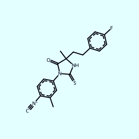 [C-]#[N+]c1ccc(N2C(=O)C(C)(CCc3ccc(F)cc3)NC2=S)cc1C